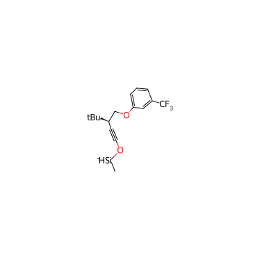 C[SiH](C)OC#C[C@H](COc1cccc(C(F)(F)F)c1)C(C)(C)C